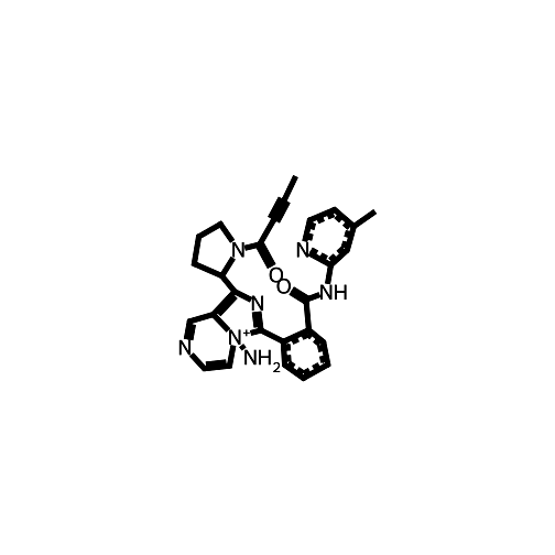 CC#CC(=O)N1CCCC1C1=C2C=NC=C[N+]2(N)C(c2ccccc2C(=O)Nc2cc(C)ccn2)=N1